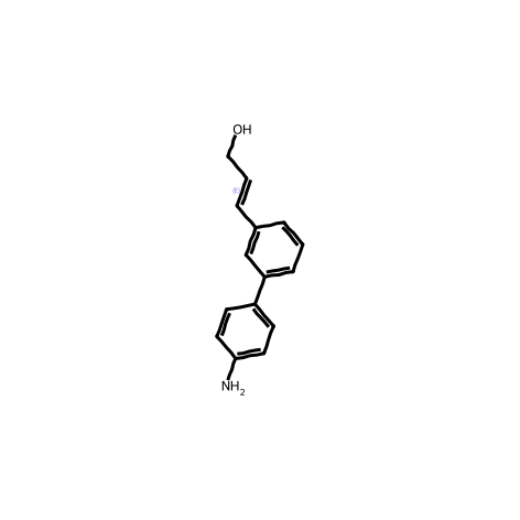 Nc1ccc(-c2cccc(/C=C/CO)c2)cc1